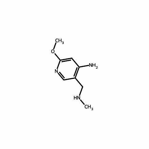 CNCc1cnc(OC)cc1N